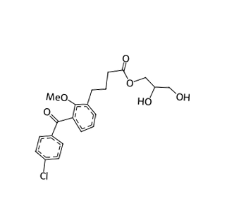 COc1c(CCCC(=O)OCC(O)CO)cccc1C(=O)c1ccc(Cl)cc1